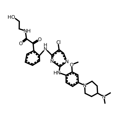 COc1cc(N2CCC(N(C)C)CC2)ccc1Nc1ncc(Cl)c(Nc2ccccc2C(=O)C(=O)NCCO)n1